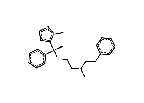 CN(CCO[C@](C)(c1ccccc1)c1ccnn1C)CCc1ccccc1